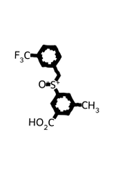 Cc1cc(C(=O)O)cc([S+]([O-])Cc2cccc(C(F)(F)F)c2)c1